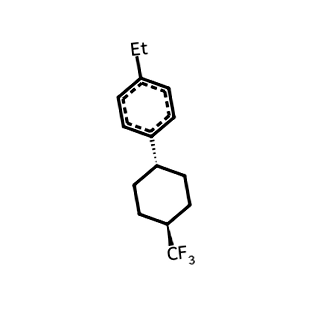 CCc1ccc([C@H]2CC[C@H](C(F)(F)F)CC2)cc1